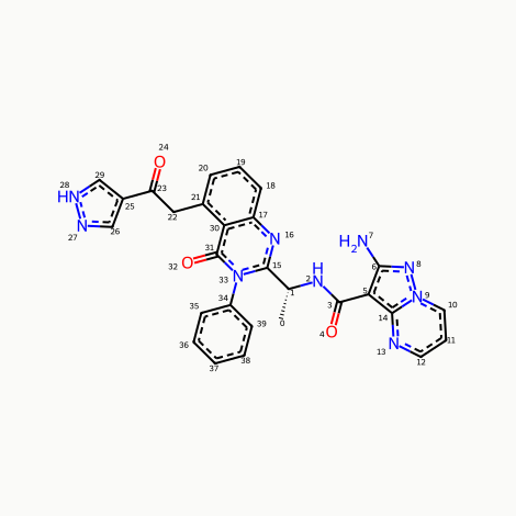 C[C@@H](NC(=O)c1c(N)nn2cccnc12)c1nc2cccc(CC(=O)c3cn[nH]c3)c2c(=O)n1-c1ccccc1